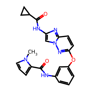 Cn1cccc1C(=O)Nc1cccc(Oc2ccc3nc(NC(=O)C4CC4)cn3n2)c1